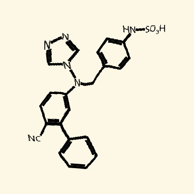 N#Cc1ccc(N(Cc2ccc(NS(=O)(=O)O)cc2)n2cnnc2)cc1-c1ccccc1